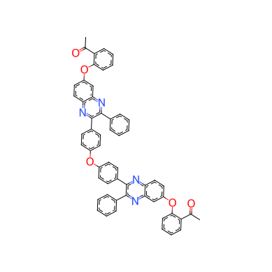 CC(=O)c1ccccc1Oc1ccc2nc(-c3ccc(Oc4ccc(-c5nc6ccc(Oc7ccccc7C(C)=O)cc6nc5-c5ccccc5)cc4)cc3)c(-c3ccccc3)nc2c1